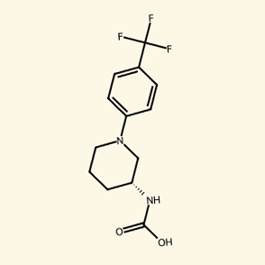 O=C(O)N[C@@H]1CCCN(c2ccc(C(F)(F)F)cc2)C1